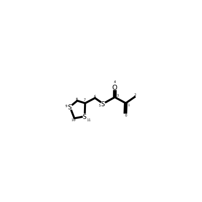 C=C(C)C(=O)SCC1CSCS1